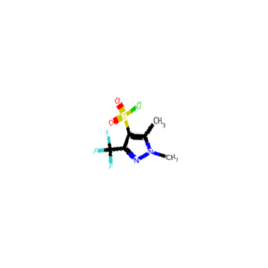 Cc1c(S(=O)(=O)Cl)c(C(F)(F)F)nn1C